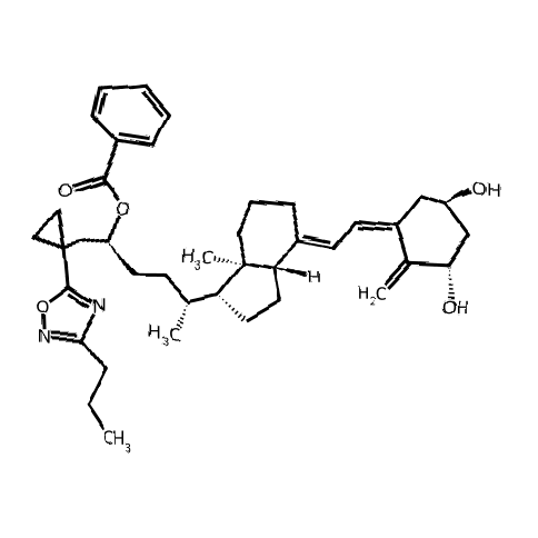 C=C1/C(=C\C=C2/CCC[C@]3(C)[C@@H]([C@H](C)CC[C@H](OC(=O)c4ccccc4)C4(c5nc(CCC)no5)CC4)CC[C@@H]23)C[C@@H](O)C[C@@H]1O